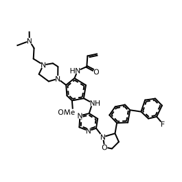 C=CC(=O)Nc1cc(Nc2cc(N3OCCC3c3cccc(-c4cccc(F)c4)c3)ncn2)c(OC)cc1N1CCN(CCN(C)C)CC1